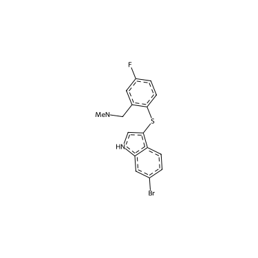 CNCc1cc(F)ccc1Sc1c[nH]c2cc(Br)ccc12